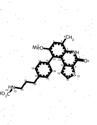 COc1cc(C)c2[nH]c(=O)c3sccc3c2c1-c1ccc(CCCNC(=O)O)cc1